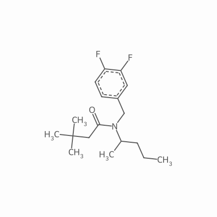 CCCC(C)N(Cc1ccc(F)c(F)c1)C(=O)CC(C)(C)C